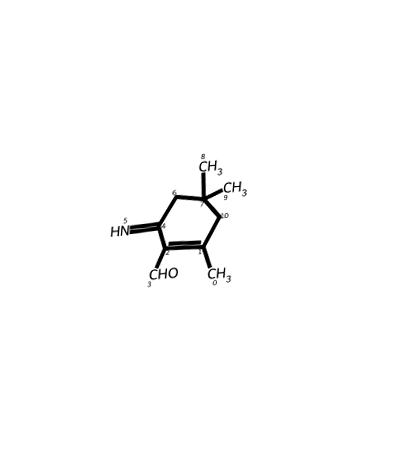 CC1=C(C=O)C(=N)CC(C)(C)C1